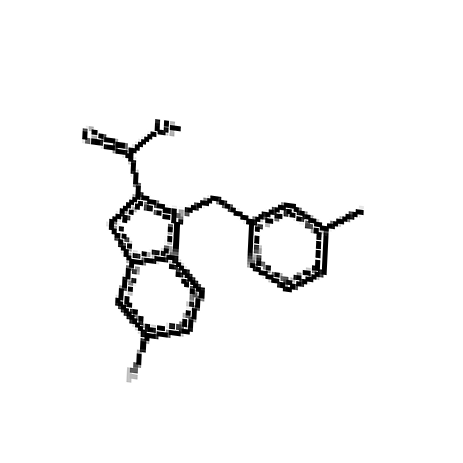 Cc1cccc(Cn2c(C(=O)O)cc3cc(F)ccc32)c1